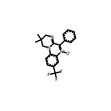 CC1(C)CN=C2C(c3ccccc3)=[N+]([O-])c3cc(C(F)(F)F)ccc3N2C1